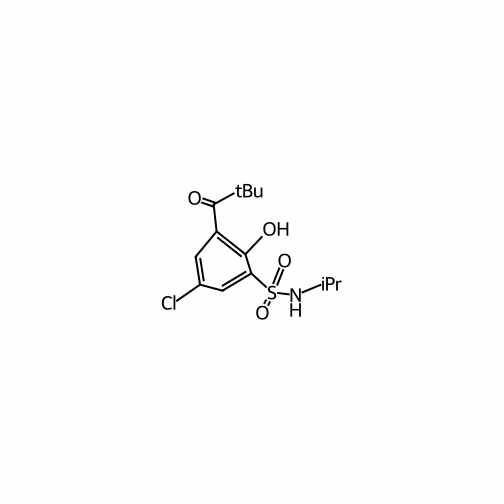 CC(C)NS(=O)(=O)c1cc(Cl)cc(C(=O)C(C)(C)C)c1O